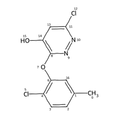 Cc1ccc(Cl)c(Oc2nnc(Cl)cc2O)c1